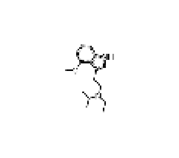 CCN(CCc1c[nH]c2cccc(OC)c12)C(C)C